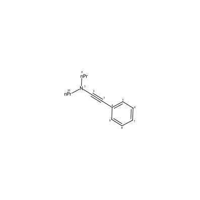 CCCN(C#Cc1ccccc1)CCC